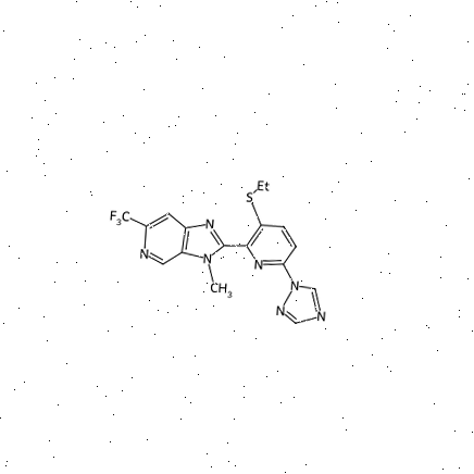 CCSc1ccc(-n2cncn2)nc1-c1nc2cc(C(F)(F)F)ncc2n1C